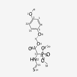 COc1ccc(OCOC(=O)C(NC=S)P(=O)(OC)OC)cc1